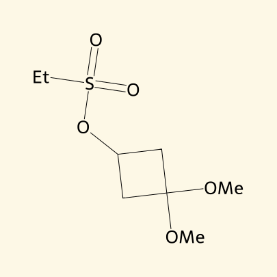 CCS(=O)(=O)OC1CC(OC)(OC)C1